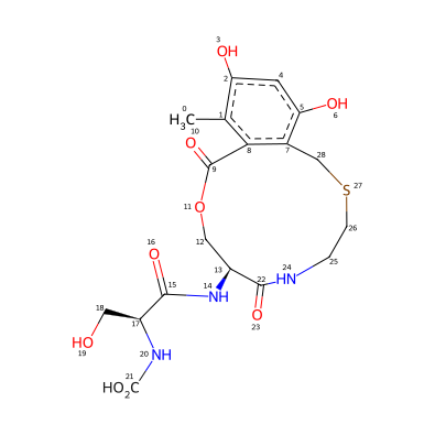 Cc1c(O)cc(O)c2c1C(=O)OC[C@H](NC(=O)[C@H](CO)NC(=O)O)C(=O)NCCSC2